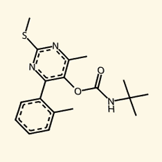 CSc1nc(C)c(OC(=O)NC(C)(C)C)c(-c2ccccc2C)n1